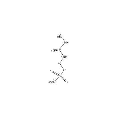 CCCCNC(=S)NCCS(=O)(=O)OC